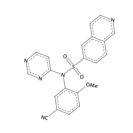 COc1ccc(C#N)cc1N(c1ccncn1)S(=O)(=O)c1ccc2cnccc2c1